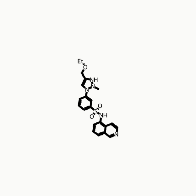 CCOCC1=CN(c2cccc(S(=O)(=O)Nc3cccc4cnccc34)c2)N(C)N1